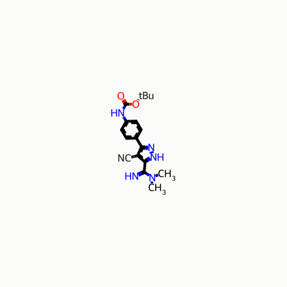 CN(C)C(=N)c1[nH]nc(-c2ccc(NC(=O)OC(C)(C)C)cc2)c1C#N